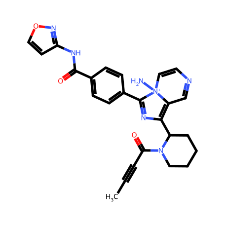 CC#CC(=O)N1CCCCC1C1=C2C=NC=C[N+]2(N)C(c2ccc(C(=O)Nc3ccon3)cc2)=N1